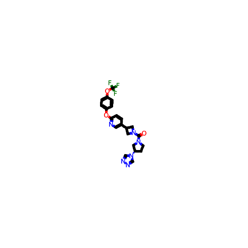 O=C(N1CC(c2ccc(Oc3ccc(OC(F)(F)F)cc3)nc2)C1)N1CC[C@@H](n2cnnc2)C1